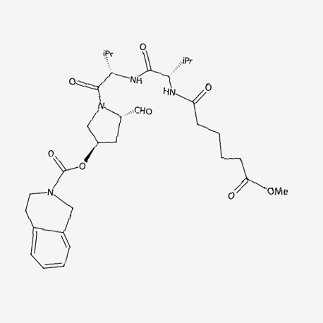 COC(=O)CCCCC(=O)N[C@H](C(=O)N[C@H](C(=O)N1C[C@H](OC(=O)N2CCc3ccccc3C2)C[C@H]1C=O)C(C)C)C(C)C